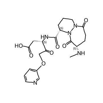 CN[C@H]1CCC(=O)N2CCC[C@@H](C(=O)N[C@@H](CC(=O)O)C(=O)COc3cccnc3)N2C1=O